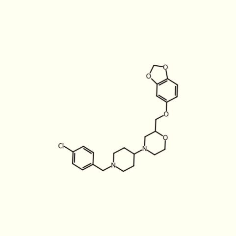 Clc1ccc(CN2CCC(N3CCOC(COc4ccc5c(c4)OCO5)C3)CC2)cc1